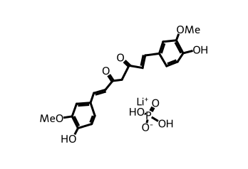 COc1cc(/C=C/C(=O)CC(=O)/C=C/c2ccc(O)c(OC)c2)ccc1O.O=P([O-])(O)O.[Li+]